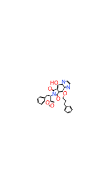 O=C1c2c(c(OCCCc3ccccc3)c3nccnc3c2O)C(=O)N1C(Cc1ccccc1)C1=COCO1